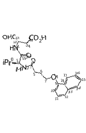 CC(C)[C@H](NC(=O)CCCOc1cccc2ccccc12)C(=O)N[C@H](C=O)CC(=O)O